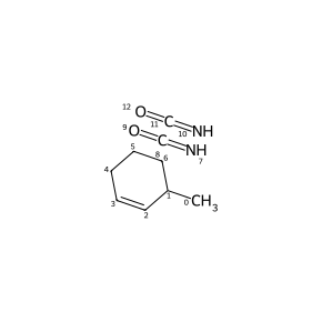 CC1C=CCCC1.N=C=O.N=C=O